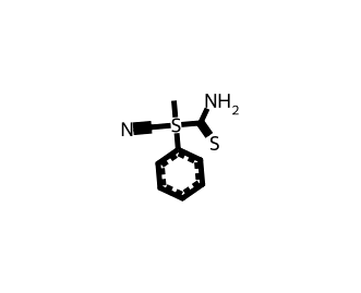 CS(C#N)(C(N)=S)c1ccccc1